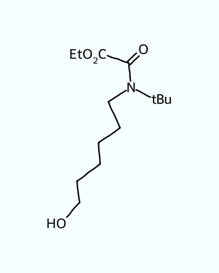 CCOC(=O)C(=O)N(CCCCCCO)C(C)(C)C